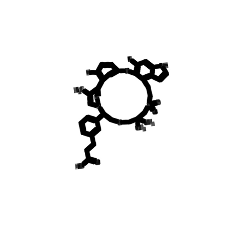 Cc1cn2nc1-c1cc(ccc1F)Oc1c(F)cc3[nH]ccc3c1CCS(=O)(=O)CC(C)(C)COCC2c1cccc(CCC(=O)O)c1